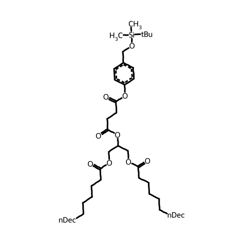 CCCCCCCCCCCCCCCC(=O)OCC(COC(=O)CCCCCCCCCCCCCCC)OC(=O)CCC(=O)Oc1ccc(CO[Si](C)(C)C(C)(C)C)cc1